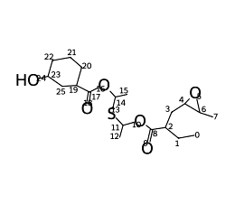 CCC(CC1OC1C)C(=O)OC(C)SC(C)OC(=O)C1CCCC(O)C1